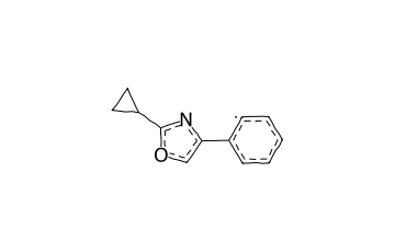 [c]1ccccc1-c1coc(C2CC2)n1